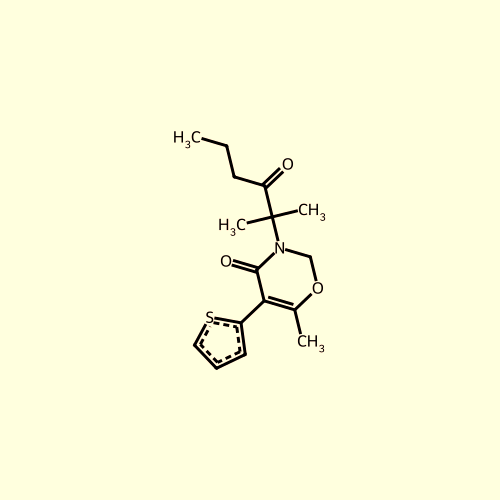 CCCC(=O)C(C)(C)N1COC(C)=C(c2cccs2)C1=O